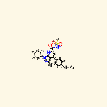 CC(=O)Nc1ccc(-c2cc(C(=O)NS(C)(=O)=O)nc3c2c(C(C)C)nn3C2CCCCC2)cc1